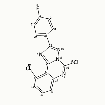 Fc1ccc(-c2nc3c4c(Cl)cccc4nc(Cl)n3n2)cc1